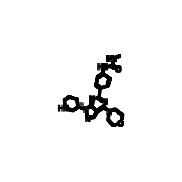 CNC(=O)Nc1ccc(-c2nc(N3CCOCC3)c3cnn([C@@H]4CCCNC4)c3n2)cc1